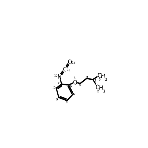 CC(C)CCOc1ccccc1N=C=O